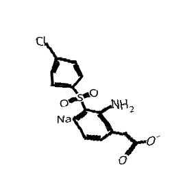 Nc1c(CC(=O)[O-])cccc1S(=O)(=O)c1ccc(Cl)cc1.[Na+]